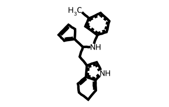 Cc1cccc(NC(Cc2c[nH]c3c2=CCCC=3)C2=CC=CC2)c1